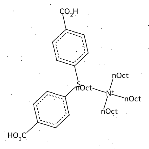 CCCCCCCC[N+](CCCCCCCC)(CCCCCCCC)CCCCCCCC.O=C(O)c1ccc(Sc2ccc(C(=O)O)cc2)cc1